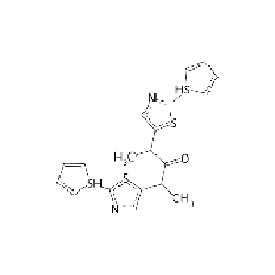 CC(C(=O)C(C)c1cnc([SH]2C=CC=C2)s1)c1cnc([SH]2C=CC=C2)s1